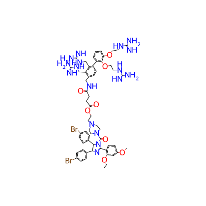 CCOc1cc(OC)ccc1C1=NC(c2ccc(Br)cc2)C(c2ccc(Br)cc2)N1C(=O)N1CCN(CCOC(=O)CCC(=O)NCc2ccc(-c3cccc(OCCNC(=N)N)c3OCCNC(=N)N)c(CNC(=N)N)c2CNC(=N)N)CC1